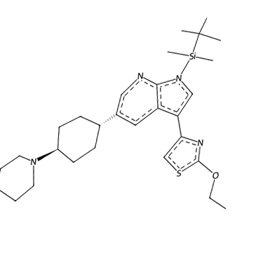 CCOc1nc(-c2cn([Si](C)(C)C(C)(C)C)c3ncc([C@H]4CC[C@H](N5CCOCC5)CC4)cc23)cs1